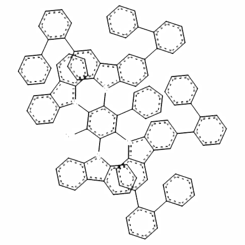 N#Cc1c(-n2c3ccccc3c3ccccc32)c(-n2c3ccc(-c4ccccc4-c4ccccc4)cc3c3cc(-c4ccccc4-c4ccccc4)ccc32)c(-c2ccccc2)c(-n2c3ccc(-c4ccccc4-c4ccccc4)cc3c3cc(-c4ccccc4-c4ccccc4)ccc32)c1-n1c2ccccc2c2ccccc21